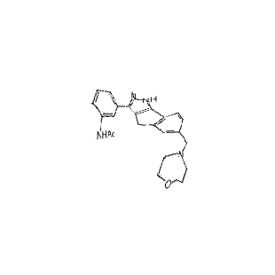 CC(=O)Nc1cccc(-c2n[nH]c3c2Cc2cc(CN4CCOCC4)ccc2-3)c1